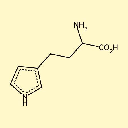 NC(CCc1cc[nH]c1)C(=O)O